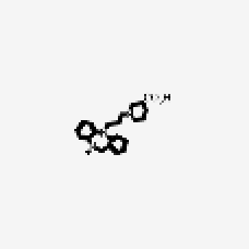 CN1Cc2ccccc2N(CCCN2CCCC(C(=O)O)C2)c2ccccc21